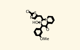 COc1cccc(C2C(=O)C3=CC=CCN3C(Cc3cnc(Cl)s3)N2O)c1